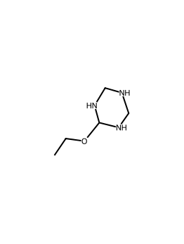 CCOC1NCNCN1